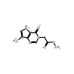 COC(=O)Cn1cnc2c(C)c[nH]c2c1=O